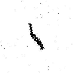 CCCCCCCCOc1ccc(-c2cnc(-c3ccc(OCC(C)F)cc3)nc2)cc1